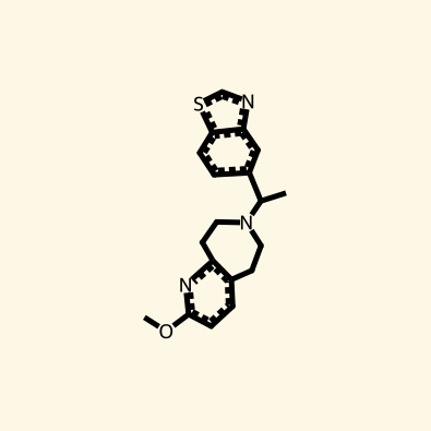 COc1ccc2c(n1)CCN(C(C)c1ccc3scnc3c1)CC2